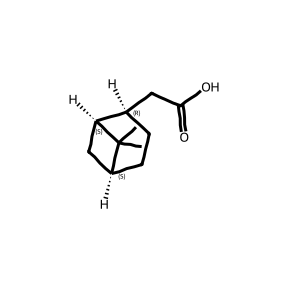 CC1(C)[C@H]2CC[C@H](CC(=O)O)[C@@H]1C2